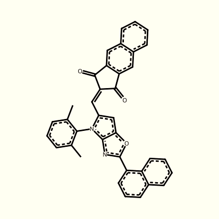 Cc1cccc(C)c1-n1c(C=C2C(=O)c3cc4ccccc4cc3C2=O)cc2oc(-c3cccc4ccccc34)nc21